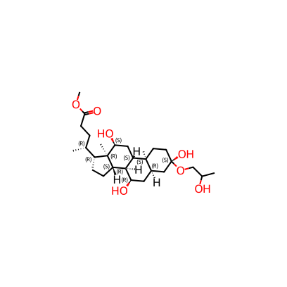 COC(=O)CC[C@@H](C)[C@H]1CC[C@H]2[C@@H]3[C@H](O)C[C@@H]4C[C@@](O)(OCC(C)O)CC[C@]4(C)[C@H]3C[C@H](O)[C@]12C